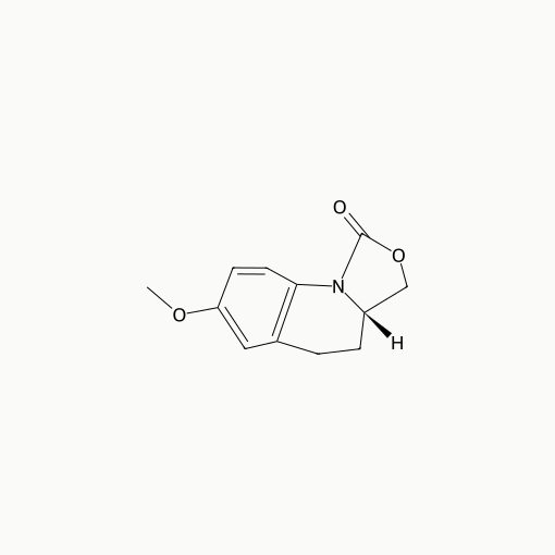 COc1ccc2c(c1)CC[C@H]1COC(=O)N21